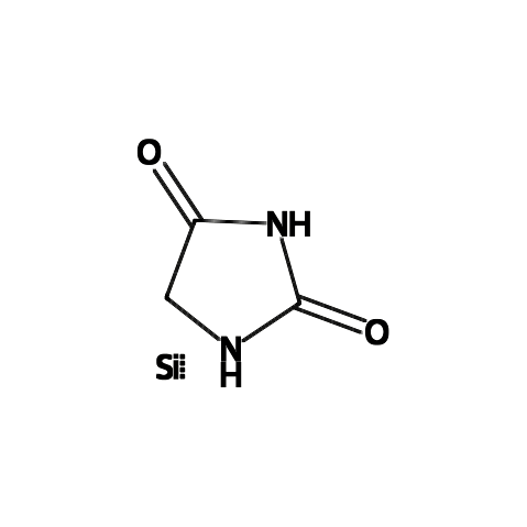 O=C1CNC(=O)N1.[Si]